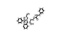 CC(C)CCN([C@@H](c1ccccc1)C(O)CCOC(=O)NCc1ccccc1)S(=O)(=O)c1ccccc1